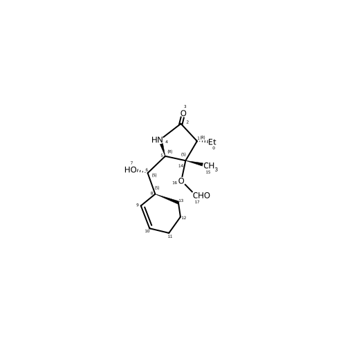 CC[C@H]1C(=O)N[C@H]([C@@H](O)[C@@H]2C=CCCC2)[C@@]1(C)OC=O